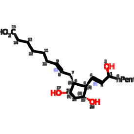 CCCCCC(O)/C=C/[C@@H]1[C@@H](C/C=C/CCCCCC(=O)O)[C@@H](O)C[C@H]1O